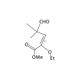 CCO/C(=C/C(C)(C)C=O)C(=O)OC